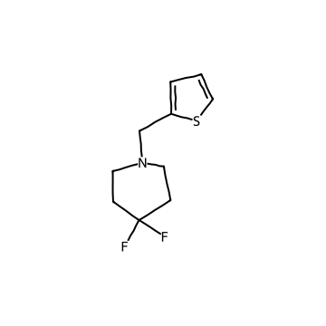 FC1(F)CCN(Cc2cccs2)CC1